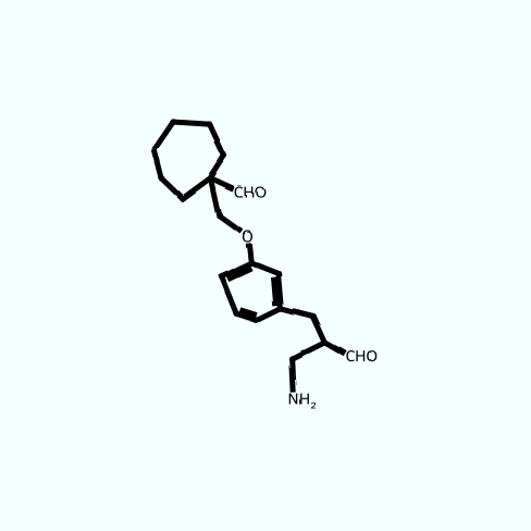 NCC(C=O)Cc1cccc(OCC2(C=O)CCCCCC2)c1